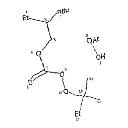 CC(=O)OO.CCCCC(CC)COC(=O)OOC(C)(C)CC